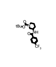 CC(C)(C)OC(=O)N1CCCC(NC(=O)c2ccc(C(F)(F)F)cc2)C1